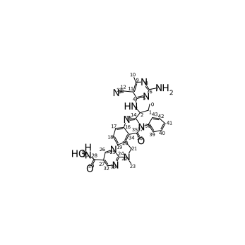 CCC(Nc1nc(N)nc(C)c1C#N)c1nc2cccc(CN(C)c3ncc(C(=O)NO)cn3)c2c(=O)n1-c1ccccc1